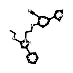 CCOc1cc(-c2ccccc2)nn1CCOc1ccc(-c2ccsc2)cc1C#N